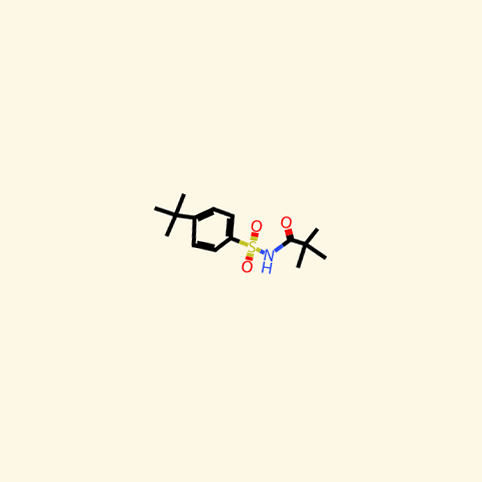 CC(C)(C)C(=O)NS(=O)(=O)c1ccc(C(C)(C)C)cc1